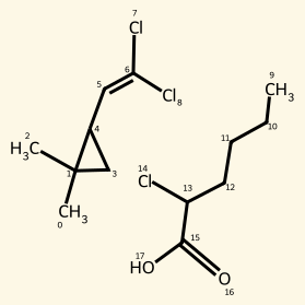 CC1(C)CC1C=C(Cl)Cl.CCCCC(Cl)C(=O)O